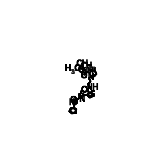 CC(C)(C)ONC(=O)C1CCCCN1CCCNC(=O)c1sccc1-c1nc(-c2cc(-c3ccccc3)no2)cs1